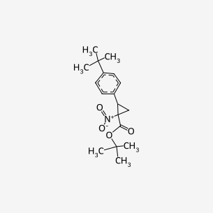 CC(C)(C)OC(=O)C1([N+](=O)[O-])CC1c1ccc(C(C)(C)C)cc1